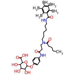 Bc1c(B)c(B)c(C(=O)NCCCCCCN(CCC(=O)Nc2ccc(OC3OC(C(=O)O)C(O)C(O)C3O)cc2)C(=O)CCCC)c(B)c1B